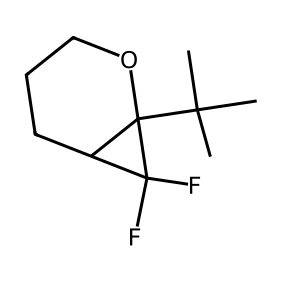 CC(C)(C)C12OCCCC1C2(F)F